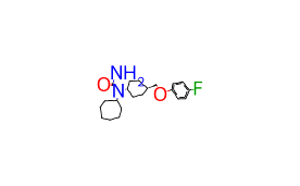 NC(=O)N(C1CCCCCC1)[C@H]1CC[C@H](COc2ccc(F)cc2)CC1